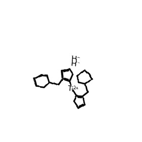 C1=CC(CC2CCCCC2)=[C]([Ti+2][C]2=C(CC3CCCCC3)C=CC2)C1.[H-].[H-]